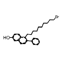 Oc1ccc2c(CCCCCCCCCCBr)c(-c3ccccc3)ccc2c1